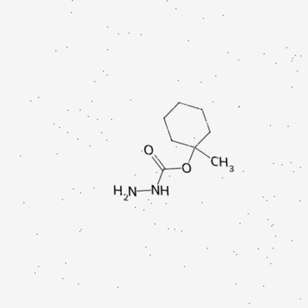 CC1(OC(=O)NN)CCCCC1